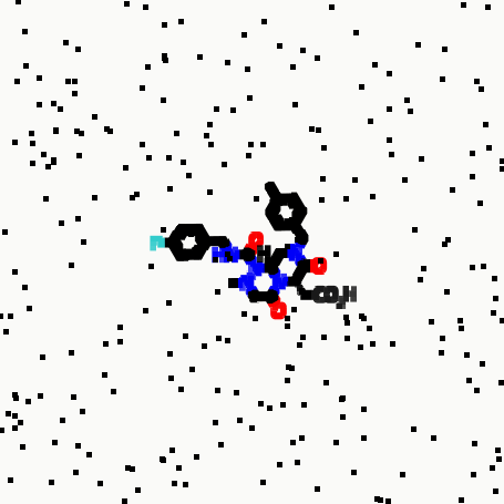 Cc1ccc(CN2C[C@H]3N(C(=O)CN(C)N3C(=O)NCc3ccc(F)cc3)[C@@H](CC(=O)O)C2=O)cc1